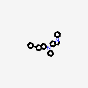 c1ccc(-c2ccc3cc(N(c4ccccc4)c4ccc5c(ccn5-c5ccccc5)c4)ccc3c2)cc1